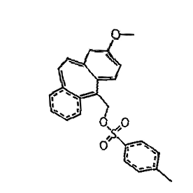 COC1=CC=C2C(=CC=c3ccccc3=C2COS(=O)(=O)c2ccc(C)cc2)C1